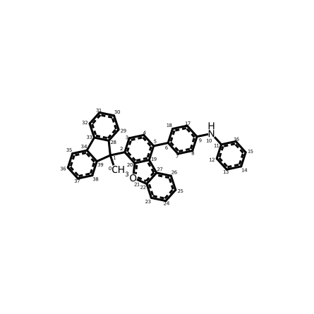 CC1(c2ccc(-c3ccc(Nc4ccccc4)cc3)c3c2oc2ccccc23)c2ccccc2-c2ccccc21